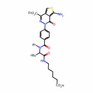 CCCCC(C(=O)NCCCCCC(=O)O)N(C(=O)c1ccc(-n2nc(C(=O)OCC)c3csc(N)c3c2=O)cc1)C(C)C